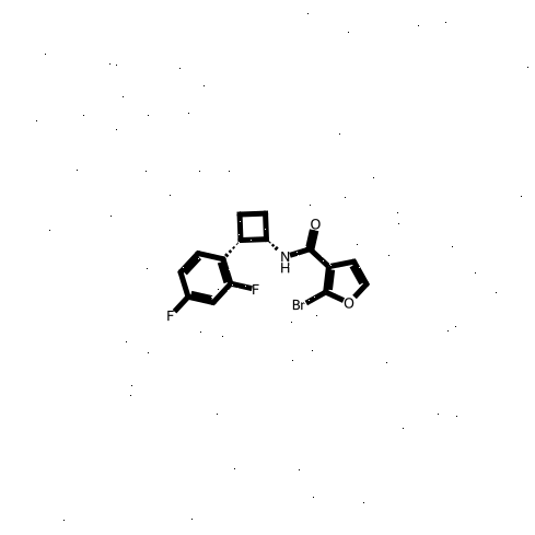 O=C(N[C@H]1CC[C@H]1c1ccc(F)cc1F)c1ccoc1Br